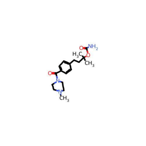 CN1CCN(C(=O)c2ccc(CCC(C)(C)OC(N)=O)cc2)CC1